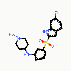 CN1CCC(Nc2cccc(S(=O)(=O)c3cc4ccc(Cl)cc4[nH]3)c2)CC1